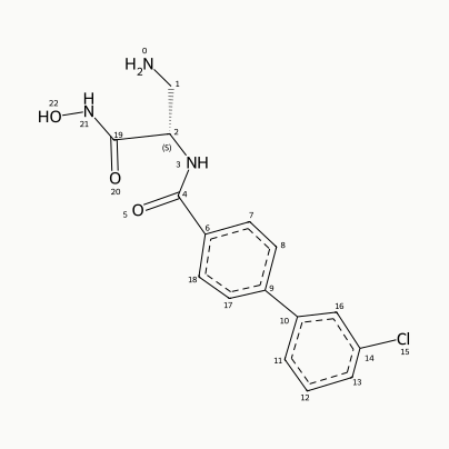 NC[C@H](NC(=O)c1ccc(-c2cccc(Cl)c2)cc1)C(=O)NO